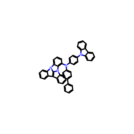 c1ccc(-c2ccc(N(c3ccc(-n4c5ccccc5c5ccccc54)cc3)c3cccc4c3n3c5ccccc5c5c6ccccc6n4c53)cc2)cc1